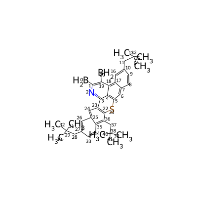 Bc1nc2c3c(cc4ccc(CC(C)(C)C)cc4c3c1B)Sc1c-2cc2cc(CC(C)(C)C)ccc2c1CC(C)(C)C